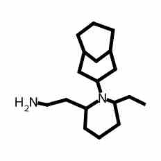 CCC1CCCC(CCN)N1C1CC2CCCC(C2)C1